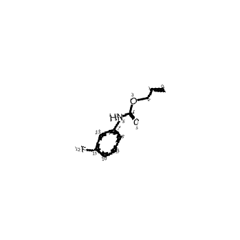 C=CCOC(=O)Nc1c[c]cc(F)c1